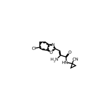 N#CC1(NC(=O)C(N)=Cc2nc3ccc(Cl)cc3o2)CC1